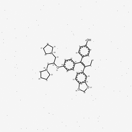 CCC(=C(c1ccc(O)cc1)c1ccc(OC(CN2CCCC2)CN2CCCC2)cc1)c1ccc2c(c1)OCO2